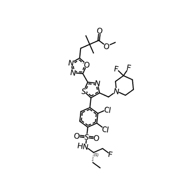 CC[C@@H](CF)NS(=O)(=O)c1ccc(-c2sc(-c3nnc(CC(C)(C)C(=O)OC)o3)nc2CN2CCCC(F)(F)C2)c(Cl)c1Cl